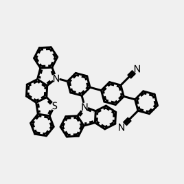 N#Cc1ccccc1-c1ccc(-c2ccc(-n3c4ccccc4c4ccc5c6ccccc6sc5c43)cc2-n2c3ccccc3c3ccccc32)cc1C#N